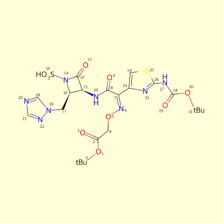 CC(C)(C)OC(=O)CON=C(C(=O)N[C@@H]1C(=O)N(S(=O)(=O)O)[C@@H]1Cn1cncn1)c1csc(NC(=O)OC(C)(C)C)n1